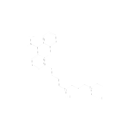 CCN(CC)CCCN(C)CCCCc1cccc2c1Oc1ccccc1C2C(=O)O